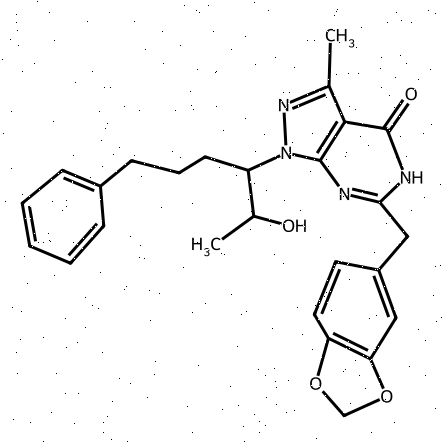 Cc1nn(C(CCCc2ccccc2)C(C)O)c2nc(Cc3ccc4c(c3)OCO4)[nH]c(=O)c12